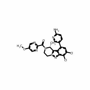 COc1cnc(C(=O)N2CCn3nc4c(Cl)c(Cl)cc(-c5ccc(N)nc5)c4c3[C@H]2C)nc1